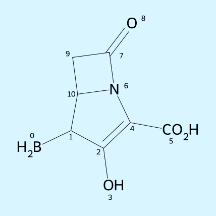 BC1C(O)=C(C(=O)O)N2C(=O)CC12